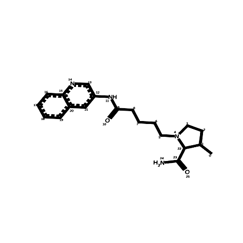 CC1CCN(CCCCC(=O)Nc2cnc3ccccc3c2)C1C(N)=O